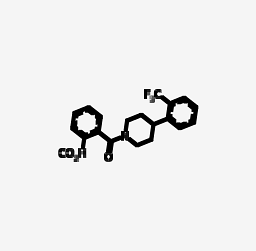 O=C(O)c1ccccc1C(=O)N1CCC(c2ccccc2C(F)(F)F)CC1